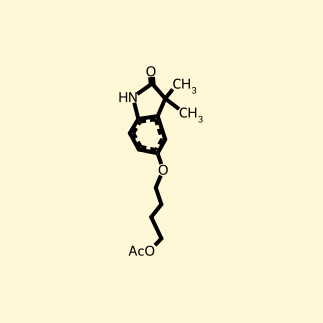 CC(=O)OCCCCOc1ccc2c(c1)C(C)(C)C(=O)N2